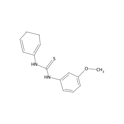 COc1cccc(NC(=S)NC2=CC[CH]C=C2)c1